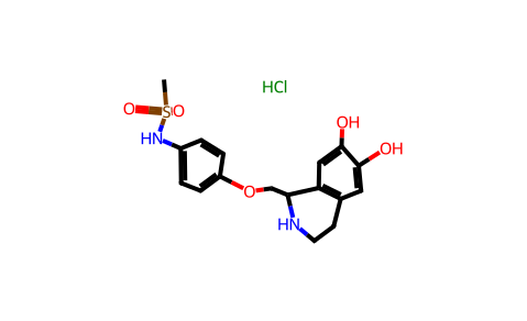 CS(=O)(=O)Nc1ccc(OCC2NCCc3cc(O)c(O)cc32)cc1.Cl